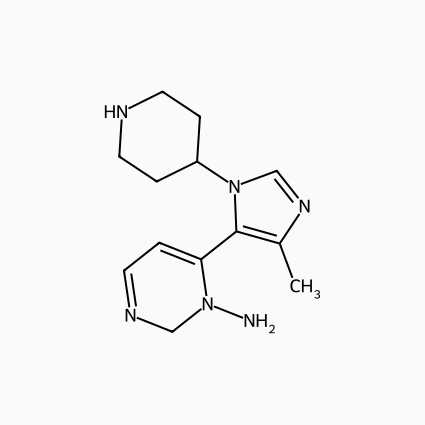 Cc1ncn(C2CCNCC2)c1C1=CC=NCN1N